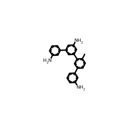 Cc1ccc(-c2cccc(N)c2)cc1-c1cc(N)cc(-c2cccc(N)c2)c1